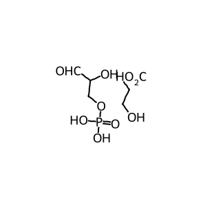 O=C(O)CCO.O=CC(O)COP(=O)(O)O